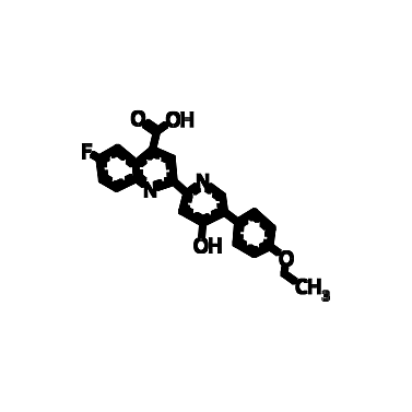 CCOc1ccc(-c2cnc(-c3cc(C(=O)O)c4cc(F)ccc4n3)cc2O)cc1